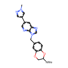 CNC1COc2cc(Cn3cnc4cc(-c5cnn(C)c5)cnc43)ccc2O1